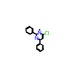 CN1C(Cl)=CC(c2ccccc2)=NC1c1ccccc1